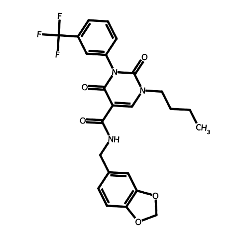 CCCCn1cc(C(=O)NCc2ccc3c(c2)OCO3)c(=O)n(-c2cccc(C(F)(F)F)c2)c1=O